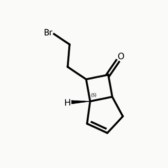 O=C1C2CC=C[C@@H]2C1CCBr